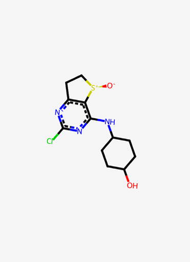 [O-][S@+]1CCc2nc(Cl)nc(NC3CCC(O)CC3)c21